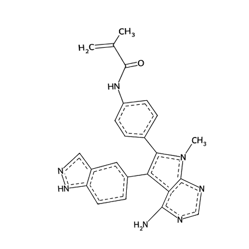 C=C(C)C(=O)Nc1ccc(-c2c(-c3ccc4[nH]ncc4c3)c3c(N)ncnc3n2C)cc1